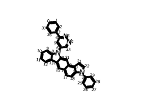 c1ccc(-c2cc(-n3c4ccccc4c4cc5ccc6c(ccn6-c6ccccc6)c5cc43)cnn2)cc1